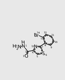 NNC(=O)c1csc(-c2ccccc2Br)n1